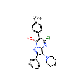 COc1ccc(-c2c(Cl)nc3c(N4CCCCC4)c(-c4ccccc4)nn3c2O)cc1